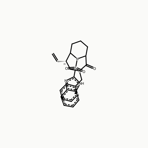 C=C[C@H]1CN(Cc2ccccn2)C(=O)C2CCCC1N2S(=O)(=O)c1nc2ccccc2[nH]1